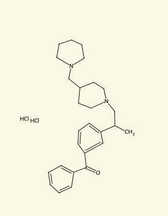 CC(CN1CCC(CN2CCCCC2)CC1)c1cccc(C(=O)c2ccccc2)c1.Cl.Cl